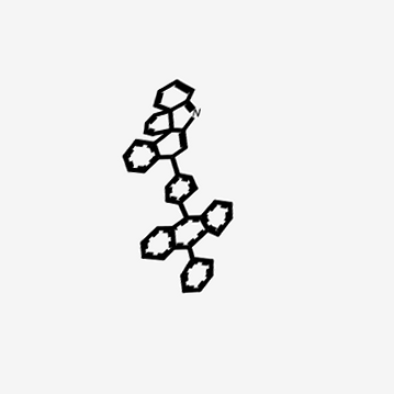 C1=CC2=NC3=CC(c4ccc(-c5c6ccccc6c(-c6ccccc6)c6ccccc56)cc4)c4ccccc4C34C=CC=CC24C=C1